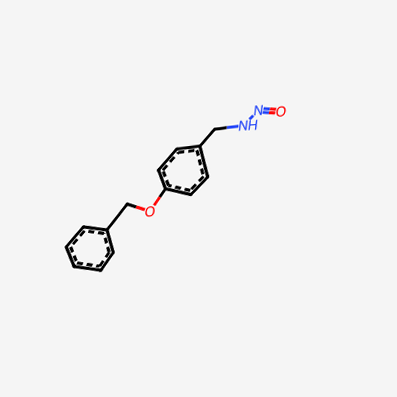 O=NNCc1ccc(OCc2ccccc2)cc1